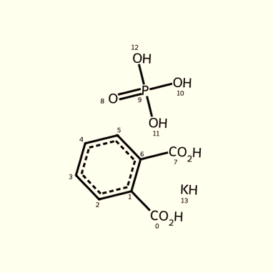 O=C(O)c1ccccc1C(=O)O.O=P(O)(O)O.[KH]